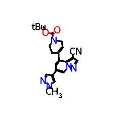 Cn1cc(-c2cc(C3=CCN(C(=O)OC(C)(C)C)CC3)c3c(C#N)cnn3c2)cn1